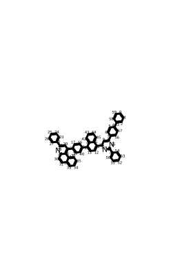 c1ccc(-c2ccc(-c3cc(-c4ccc(-c5ccc(-c6cc(-c7ccccc7)nc7ccc8ccccc8c67)cc5)c5ccccc45)nc(-c4ccccc4)n3)cc2)cc1